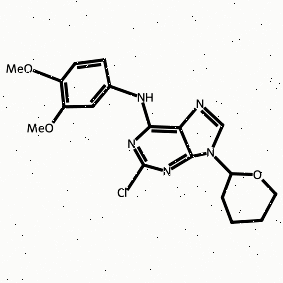 COc1ccc(Nc2nc(Cl)nc3c2ncn3C2CCCCO2)cc1OC